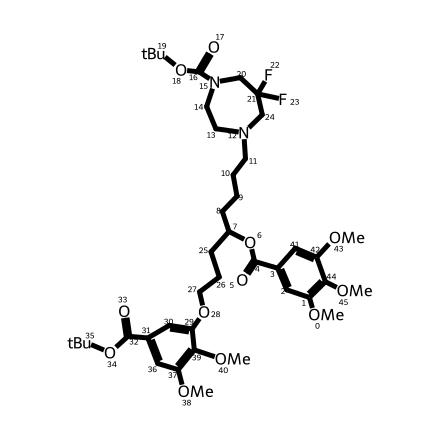 COc1cc(C(=O)OC(CCCCN2CCN(C(=O)OC(C)(C)C)CC(F)(F)C2)CCCOc2cc(C(=O)OC(C)(C)C)cc(OC)c2OC)cc(OC)c1OC